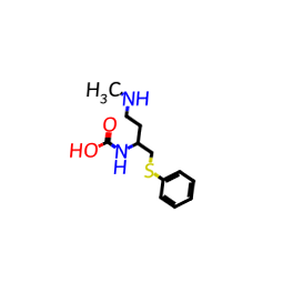 CNCCC(CSc1ccccc1)NC(=O)O